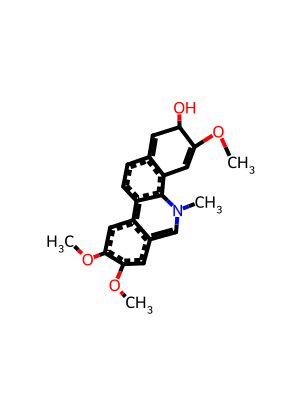 COC1=Cc2c3c(ccc2=CC1O)=c1cc(OC)c(OC)cc1=CN3C